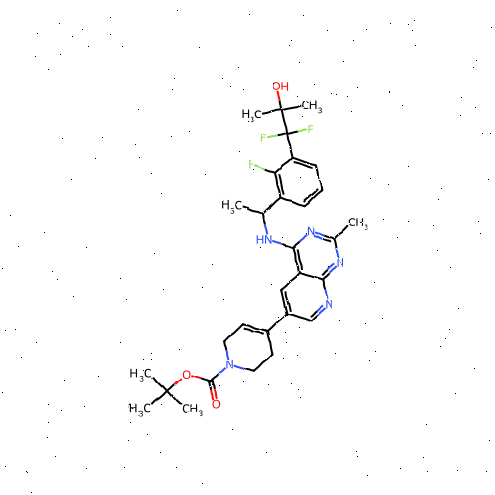 Cc1nc(NC(C)c2cccc(C(F)(F)C(C)(C)O)c2F)c2cc(C3=CCN(C(=O)OC(C)(C)C)CC3)cnc2n1